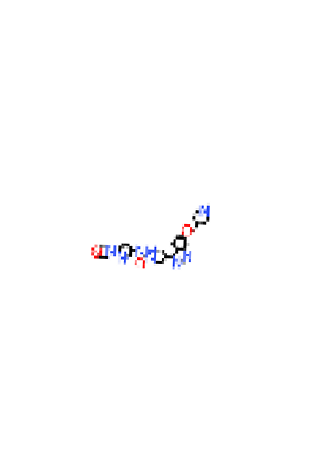 CN1CCC(COc2ccc3c(C4CCN(C(=O)Nc5ccc(N6CCOCC6)nc5)CC4)ncnc3c2)CC1